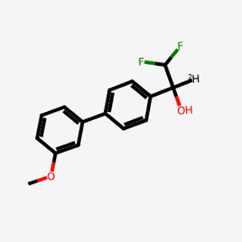 [2H]C(O)(c1ccc(-c2cccc(OC)c2)cc1)C(F)F